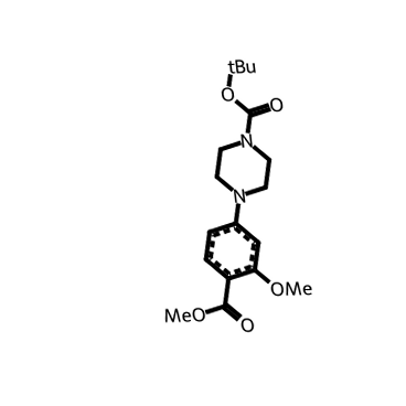 COC(=O)c1ccc(N2CCN(C(=O)OC(C)(C)C)CC2)cc1OC